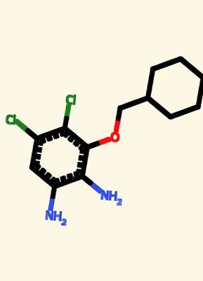 Nc1cc(Cl)c(Cl)c(OCC2CCCCC2)c1N